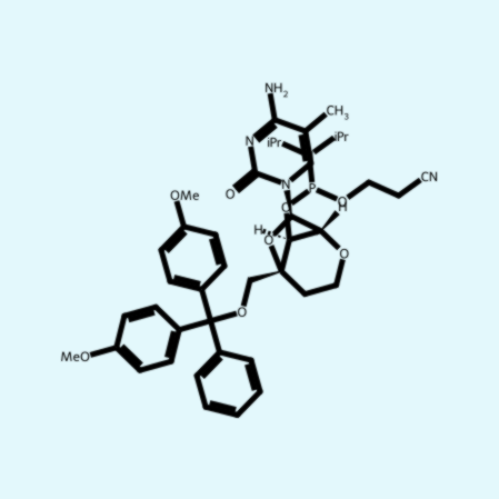 COc1ccc(C(OC[C@@]23CCO[C@@H]([C@H](n4cc(C)c(N)nc4=O)O2)[C@@H]3OP(OCCC#N)N(C(C)C)C(C)C)(c2ccccc2)c2ccc(OC)cc2)cc1